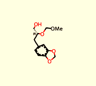 COCO[C@@H](CO)Cc1ccc2c(c1)OCO2